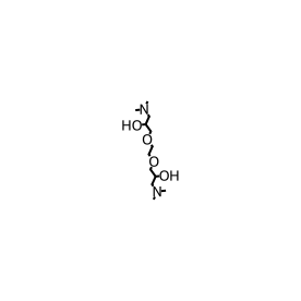 CN(C)CC(O)COCCOCC(O)CN(C)C